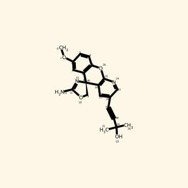 COc1ccc2c(c1)[C@]1(COC(N)=N1)c1cc(C#CC(C)(C)O)cnc1O2